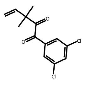 C=CC(C)(C)C(=O)C(=O)c1cc(Cl)cc(Cl)c1